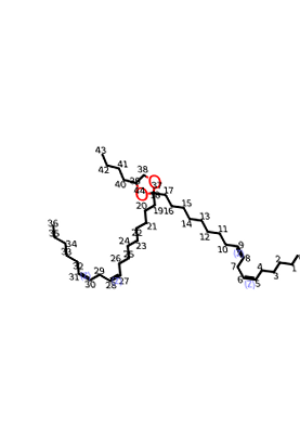 CCCCC/C=C\C/C=C\CCCCCCCCC1(CCCCCCCC/C=C\C/C=C\CCCCC)OCC(CCCC)O1